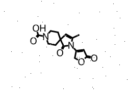 CC1=CC2(CCN(C(=O)O)CC2)C(=O)N1C1=CC(=O)OC1